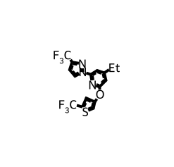 CCc1cc(Oc2csc(C(F)(F)F)c2)nc(-n2ccc(C(F)(F)F)n2)c1